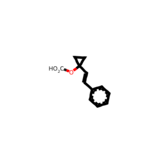 O=C(O)OC1(C=Cc2ccccc2)CC1